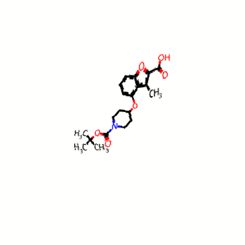 Cc1c(C(=O)O)oc2cccc(OC3CCN(C(=O)OC(C)(C)C)CC3)c12